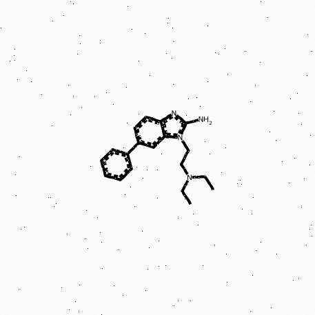 CCN(CC)CCn1c(N)nc2ccc(-c3ccccc3)cc21